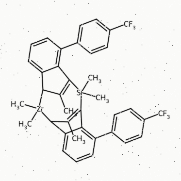 CC1=C2c3c(-c4ccc(C(F)(F)F)cc4)cccc3[CH]1[Zr]([CH3])([CH3])[CH]1C(C)=C(c3c(-c4ccc(C(F)(F)F)cc4)cccc31)[Si]2(C)C